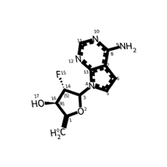 C=C1OC(n2ccc3c(N)ncnc32)[C@@H](F)[C@@H]1O